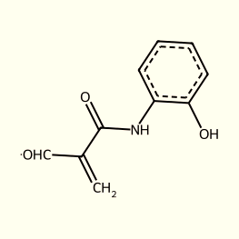 C=C([C]=O)C(=O)Nc1ccccc1O